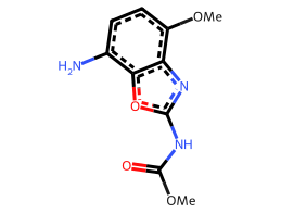 COC(=O)Nc1nc2c(OC)ccc(N)c2o1